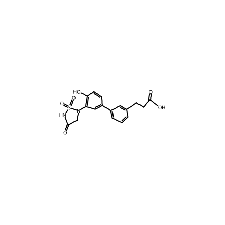 O=C(O)CCc1cccc(-c2ccc(O)c(N3CC(=O)NS3(=O)=O)c2)c1